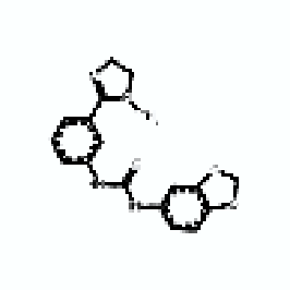 CN1CCN=C1c1cccc(NC(=O)Nc2ccc3c(c2)OCO3)c1